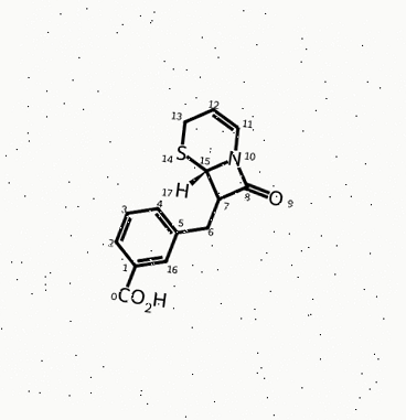 O=C(O)c1cccc(CC2C(=O)N3C=CCS[C@@H]23)c1